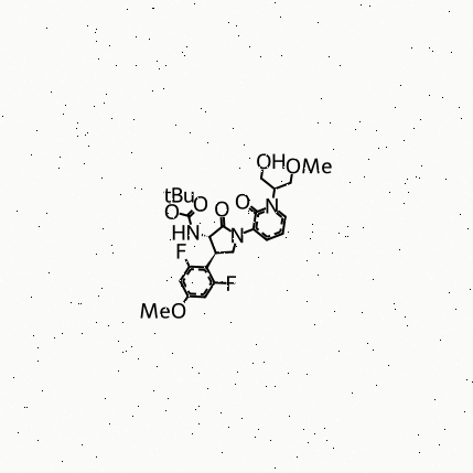 COCC(CO)n1cccc(N2C[C@@H](c3c(F)cc(OC)cc3F)[C@H](NC(=O)OC(C)(C)C)C2=O)c1=O